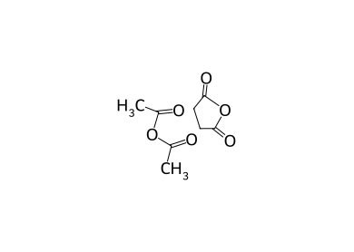 CC(=O)OC(C)=O.O=C1CCC(=O)O1